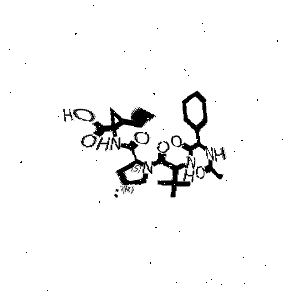 C=CC1CC1(NC(=O)[C@@H]1C[C@@H](C)CN1C(=O)C(NC(=O)C(NC(C)=O)C1CCCCC1)C(C)(C)C)C(=O)O